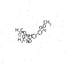 CCOC(=O)C1(c2ccc(-c3ccc(-c4onc(C)c4NC(=O)O[C@H](C)C4CCC4)cc3)cc2)CC1